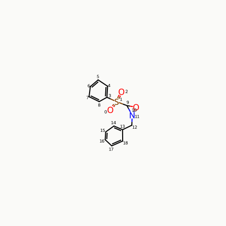 O=S(=O)(c1ccccc1)C1ON1Cc1ccccc1